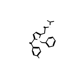 CC(C)NC(=O)Cc1ccc(C(=O)c2ccc(Cl)cc2)n1Cc1ccccc1